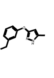 Cc1cc(Oc2cccc(CF)c2)n[nH]1